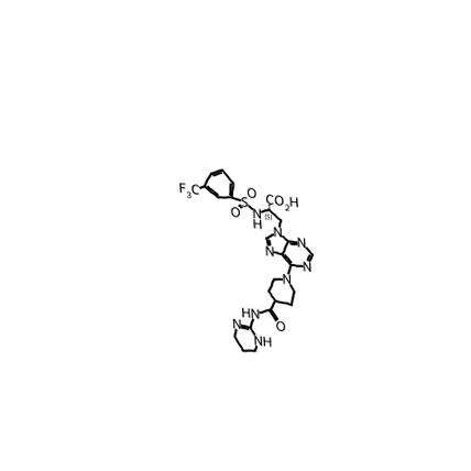 O=C(NC1=NCCCN1)C1CCN(c2ncnc3c2ncn3C[C@H](NS(=O)(=O)c2cccc(C(F)(F)F)c2)C(=O)O)CC1